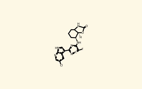 O=C1NC2CCC[C@H](Nc3nc(-c4c[nH]c5ncc(Cl)cc45)ncc3F)[C@@H]2O1